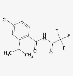 CC(C)c1cc(Cl)ccc1C(=O)NC(=O)C(F)(F)F